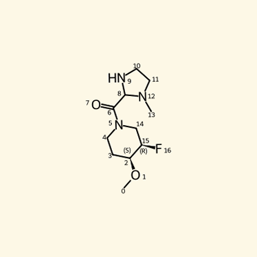 CO[C@H]1CCN(C(=O)C2NCCN2C)C[C@H]1F